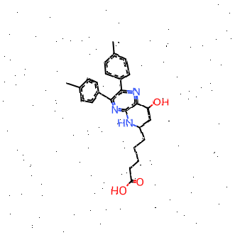 Cc1ccc(-c2nc3c(nc2-c2ccc(C)cc2)C(O)CC(CCCCC(=O)O)N3)cc1